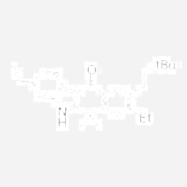 C=Cc1ccc2c3c([nH]c2c1)C(C)(C)c1cc(CC)c(CCC(C)(C)C)cc1C3=O